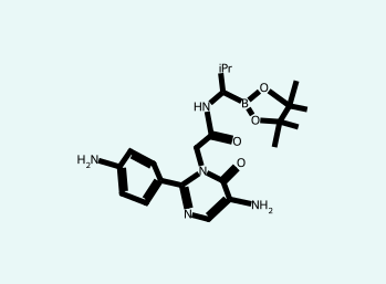 CC(C)C(NC(=O)Cn1c(-c2ccc(N)cc2)ncc(N)c1=O)B1OC(C)(C)C(C)(C)O1